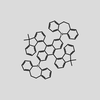 CC1(C)c2ccccc2-c2c(-c3c4ccc(N5c6ccccc6CCc6ccccc65)cc4c(-c4cccc5c4-c4ccccc4C5(C)C)c4ccc(N5c6ccccc6CCc6ccccc65)cc34)cccc21